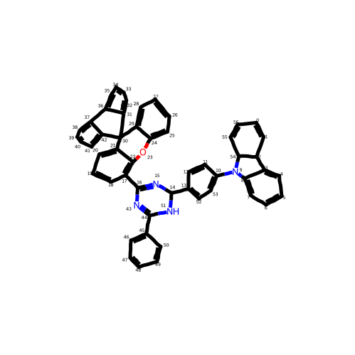 C1=CC2c3ccccc3N(c3ccc(C4N=C(c5cccc6c5Oc5ccccc5C65c6ccccc6-c6ccccc65)N=C(c5ccccc5)N4)cc3)C2C=C1